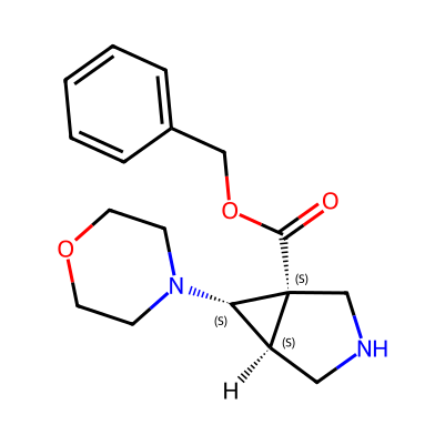 O=C(OCc1ccccc1)[C@]12CNC[C@H]1[C@@H]2N1CCOCC1